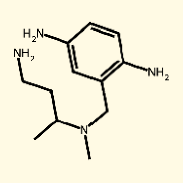 CC(CCN)N(C)Cc1cc(N)ccc1N